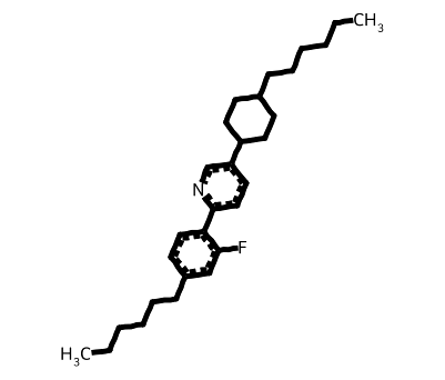 CCCCCCc1ccc(-c2ccc(C3CCC(CCCCCC)CC3)cn2)c(F)c1